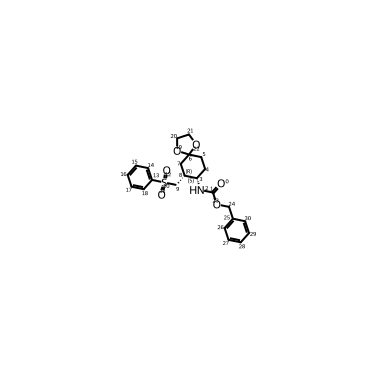 O=C(N[C@H]1CCC2(C[C@H]1CS(=O)(=O)c1ccccc1)OCCO2)OCc1ccccc1